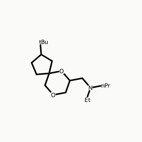 CCCN(CC)CC1COCC2(CCC(C(C)(C)C)C2)O1